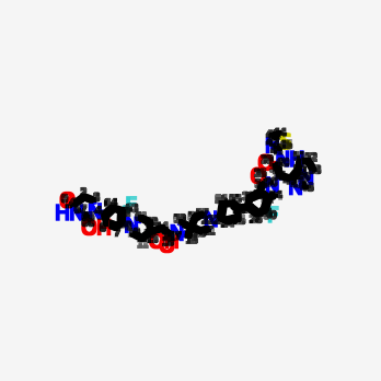 O=C1CCN(c2ccc(N3CCC(O)(CC(=O)N4CC5(CCN(c6ccc(-c7cc(F)c8c(c7)C(=O)N(C(C(=O)Nc7nccs7)c7ncn9c7CCC9)C8)cc6)CC5)C4)CC3)c(F)c2)C(O)N1